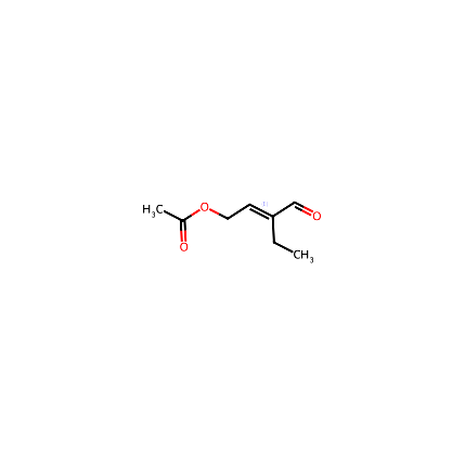 CC/C(C=O)=C\COC(C)=O